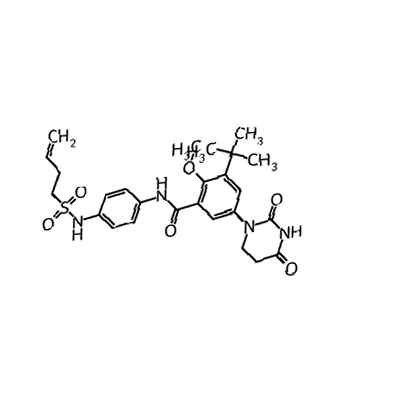 C=CCCS(=O)(=O)Nc1ccc(NC(=O)c2cc(N3CCC(=O)NC3=O)cc(C(C)(C)C)c2OC)cc1